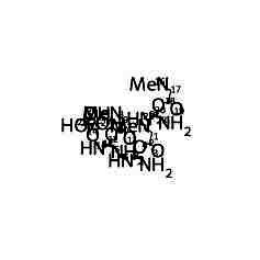 CNCC(=O)OC(=N)N.CNCC(=O)OC(=N)N.CNCC(=O)OC(=N)N.O=P(O)(O)O